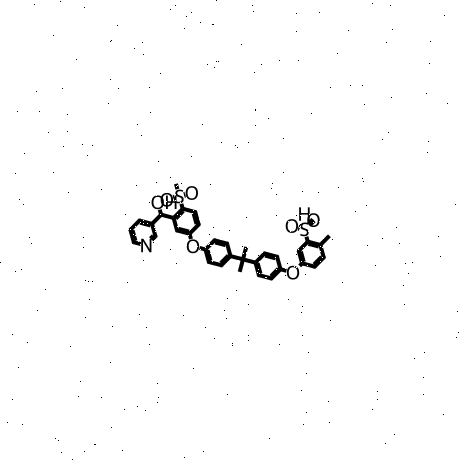 Cc1ccc(Oc2ccc(C(C)(C)c3ccc(Oc4ccc(S(C)(=O)=O)c(C(O)c5cccnc5)c4)cc3)cc2)cc1[SH](=O)=O